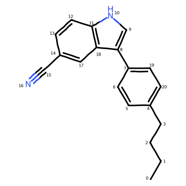 CCCCc1ccc(-c2c[nH]c3ccc(C#N)cc23)cc1